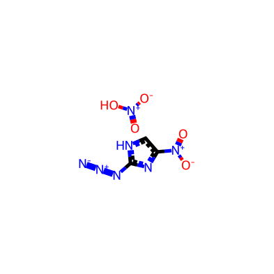 O=[N+]([O-])O.[N-]=[N+]=Nc1nc([N+](=O)[O-])c[nH]1